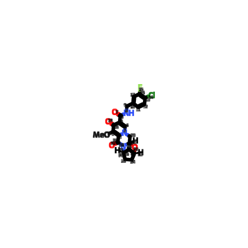 COc1c2n(cc(C(=O)NCc3ccc(Cl)c(F)c3)c1=O)C[C@@H]1O[C@H]3CC[C@H](C3)N1C2=O